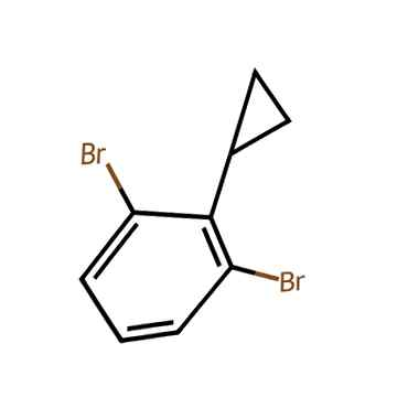 Brc1cccc(Br)c1C1CC1